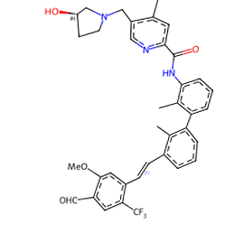 COc1cc(/C=C/c2cccc(-c3cccc(NC(=O)c4cc(OC)c(CN5CC[C@@H](O)C5)cn4)c3C)c2C)c(C(F)(F)F)cc1C=O